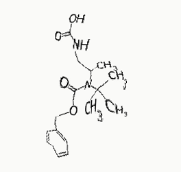 CC(CNC(=O)O)N(C(=O)OCc1ccccc1)C(C)(C)C